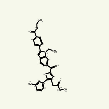 NCNC(=O)c1ccc(-c2cc3ccc(C(=O)c4cc(CC(=O)NO)c(-c5cccc(O)c5)s4)cc3n2CN)cc1